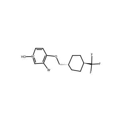 O[n+]1ccc(OC[C@H]2CC[C@H](C(F)(F)F)CC2)c(Br)c1